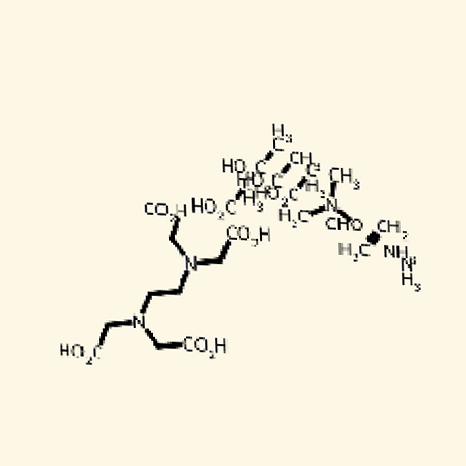 C=C.CC(=O)O.CC(=O)O.CC(=O)O.CC(=O)O.CN(C)C=O.N.N.O=C(O)CN(CCN(CC(=O)O)CC(=O)O)CC(=O)O